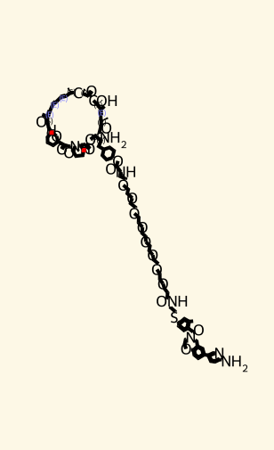 CO[C@H]1C[C@@H]2CCCC(O2)C(=O)C(=O)N2CCCC[C@H]2C(=O)O[C@H]([C@H](N)CC2CCC(OC(=O)NCCOCCOCCOCCOCCOCCOCCOCCOCCC(=O)NCCSc3ccc(C(=O)N4CCOc5ccc(-c6ccc(N)nc6)cc5C4)c(C)c3)CC2)CC(=O)[C@H](C)/C=C(\C)[C@@H](O)CC(=O)[C@H](C)C[C@H](C)/C=C/C=C/C=C/1C